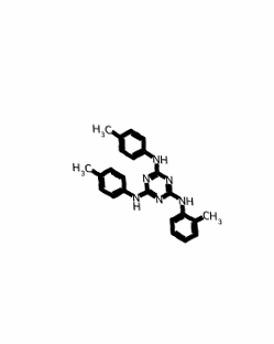 Cc1ccc(Nc2nc(Nc3ccc(C)cc3)nc(Nc3ccccc3C)n2)cc1